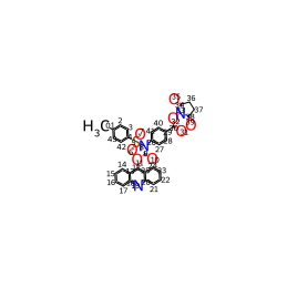 Cc1ccc(S(=O)(=O)N(C(=O)Oc2c3ccccc3nc3ccccc23)c2ccc(C(=O)ON3C(=O)CCC3=O)cc2)cc1